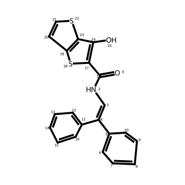 O=C(NC=C(c1ccccc1)c1ccccc1)c1sc2ccsc2c1O